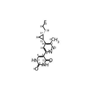 Cc1nnc(-c2c[nH]c(=O)[nH]c2=O)cc1[C@H]1C[C@@H]1CCF